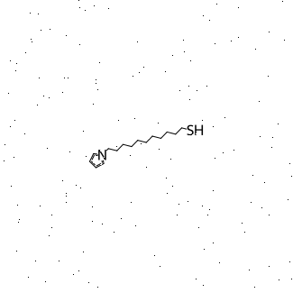 SCCCCCCCCCCCn1cccc1